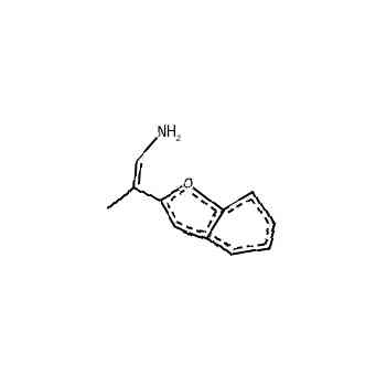 C/C(=C/N)c1cc2ccccc2o1